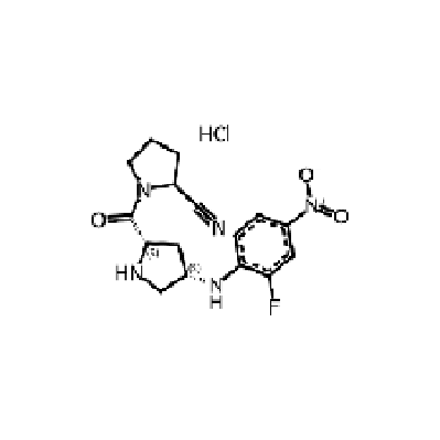 Cl.N#CC1CCCN1C(=O)[C@@H]1C[C@H](Nc2ccc([N+](=O)[O-])cc2F)CN1